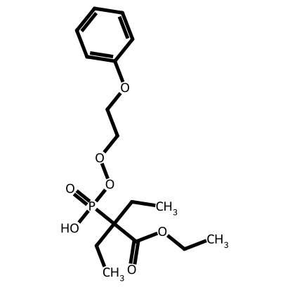 CCOC(=O)C(CC)(CC)P(=O)(O)OOCCOc1ccccc1